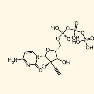 C#C[C@@]1(Cl)C(O)[C@@H](COP(=O)(O)OP(=O)(O)OP(=O)(O)O)O[C@H]1n1ccc(N)nc1=O